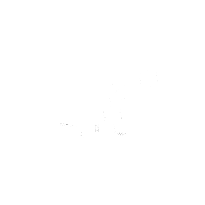 COC(=O)CNc1cc(CS(=O)(=O)CCc2ccccc2)ccc1OC